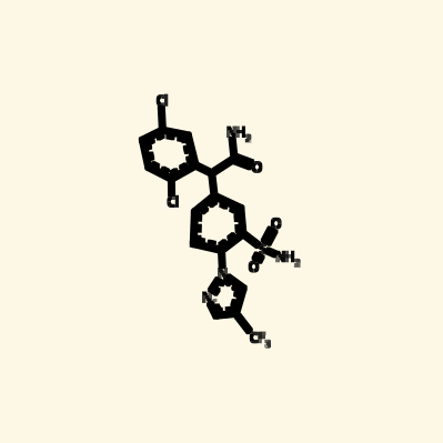 NC(=O)C(c1ccc(-n2cc(C(F)(F)F)cn2)c(S(N)(=O)=O)c1)c1cc(Cl)ccc1Cl